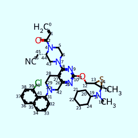 C=CC(=O)N1CCN(c2nc(OCC3S[C@]3(C)N(C)C3CCCCC3)nc3c2CCN(c2cccc4cccc(Cl)c24)C3)C[C@@H]1CC#N